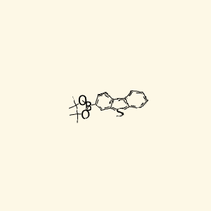 CC1(C)OB(c2ccc3c(c2)sc2ccccc23)OC1(C)C